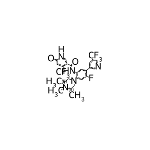 C[C@@H]1CN(c2cc(F)c(-c3cncc(C(F)(F)F)c3)cc2NC(=O)c2c[nH]c(=O)cc2C(F)(F)F)C[C@H](C)N1C